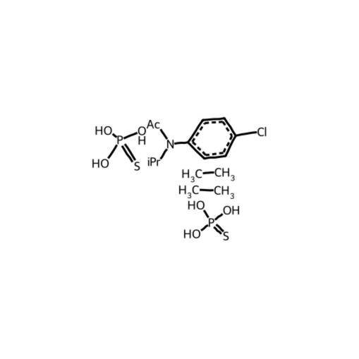 CC.CC.CC(=O)N(c1ccc(Cl)cc1)C(C)C.OP(O)(O)=S.OP(O)(O)=S